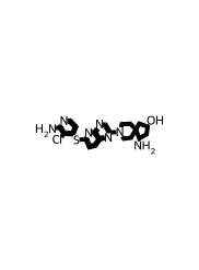 Nc1nccc(Sc2ccc3nc(N4CCC5(CC4)C[C@@H](O)C[C@H]5N)cnc3n2)c1Cl